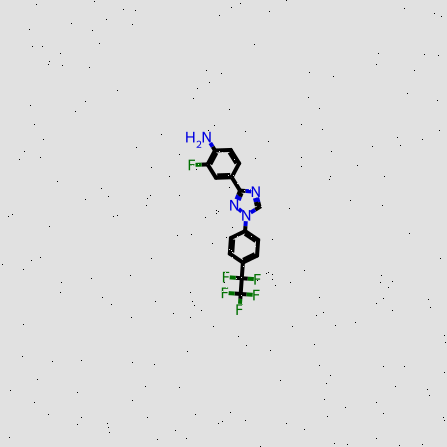 Nc1ccc(-c2ncn(-c3ccc(C(F)(F)C(F)(F)F)cc3)n2)cc1F